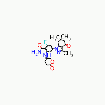 Cc1nn(-c2cc(F)c(C(N)=O)c(N[C@@H]3CCC(=O)OC3)c2)c2c1C(=O)CC(C)(C)C2